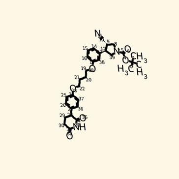 CC(C)(C)OC(=O)N1C[C@@H](C#N)[C@H](c2cccc(OCCCCOc3ccc(C4CCC(=O)NC4=O)cc3)c2)C1